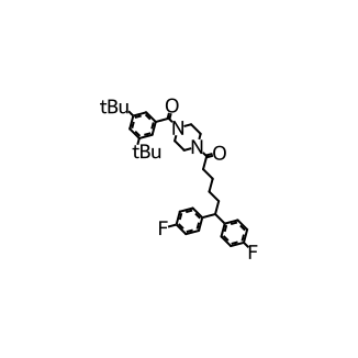 CC(C)(C)c1cc(C(=O)N2CCN(C(=O)CCCCC(c3ccc(F)cc3)c3ccc(F)cc3)CC2)cc(C(C)(C)C)c1